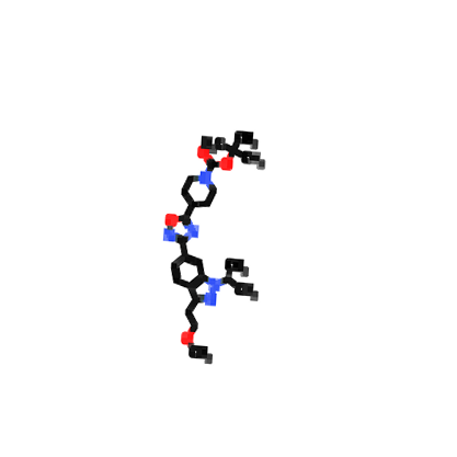 COCCc1nn(C(C)C)c2cc(-c3noc(C4CCN(C(=O)OC(C)(C)C)CC4)n3)ccc12